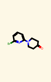 O=C1CCN(c2cccc(Br)n2)CC1